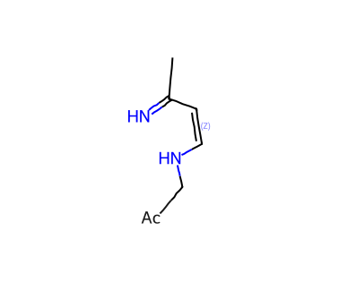 CC(=N)/C=C\NCC(C)=O